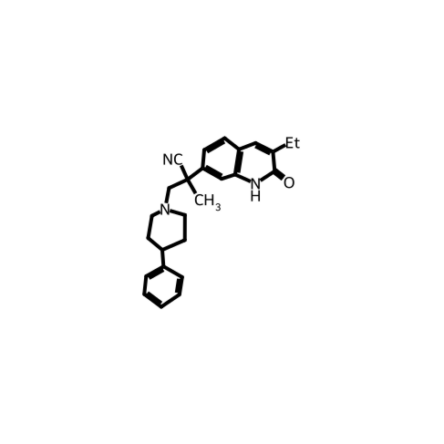 CCc1cc2ccc(C(C)(C#N)CN3CCC(c4ccccc4)CC3)cc2[nH]c1=O